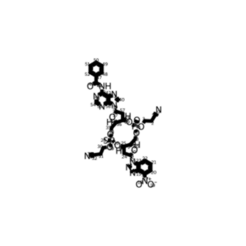 N#CCCOP1(=O)OC[C@H]2O[C@@H](n3nnc4c([N+](=O)[O-])cccc43)C[C@@H]2OP(=S)(OCCC#N)OC[C@H]2O[C@@H](n3cnc4c(NC(=O)c5ccccc5)ncnc43)C[C@@H]2O1